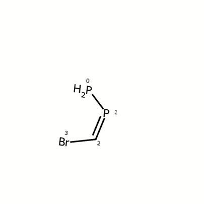 P/P=C\Br